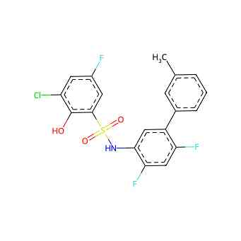 Cc1cccc(-c2cc(NS(=O)(=O)c3cc(F)cc(Cl)c3O)c(F)cc2F)c1